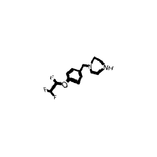 FC(F)C(F)Oc1ccc(CN2CCNCC2)cc1